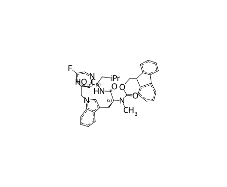 CC(C)C[C@H](NC(=O)[C@H](Cc1cn(Cc2cncc(F)c2)c2ccccc12)N(C)C(=O)OCC1c2ccccc2-c2ccccc21)C(=O)O